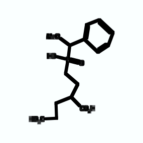 COC(c1ccccc1)P(=O)(O)CCC(CCC(=O)O)C(=O)O